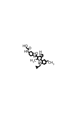 CCc1ccc(OCC2CC2)c(C2NC(C)=C(C(=O)NC3CCC(NC(=O)CO)CC3)c3[nH]ccc32)c1